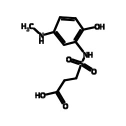 CNc1ccc(O)c(NS(=O)(=O)CCC(=O)O)c1